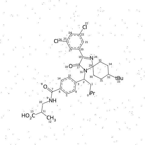 CC(C)CC(c1ccc(C(=O)NCC(C)C(=O)O)cc1)N1C(=O)C(c2cc(Cl)cc(Cl)c2)=NC12CCC(C(C)(C)C)CC2